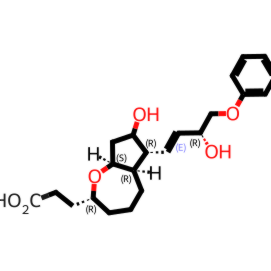 O=C(O)CC[C@H]1CCC[C@H]2[C@H](CC(O)[C@@H]2/C=C/[C@@H](O)COc2ccccc2)O1